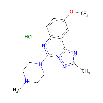 Cc1nc2c3cc(OC(F)(F)F)ccc3nc(N3CCN(C)CC3)n2n1.Cl